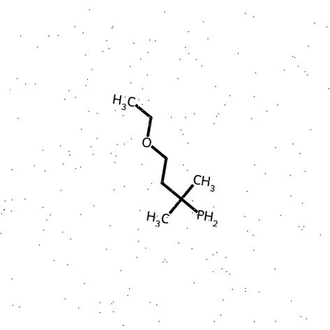 CCOCCC(C)(C)P